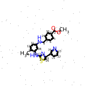 COC(=O)c1ccc(CNc2ccc(C)c(Nc3nc(-c4cccnc4)cs3)c2)cc1